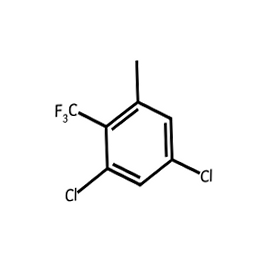 Cc1cc(Cl)cc(Cl)c1C(F)(F)F